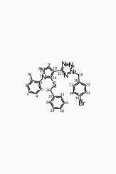 Cc1ccccc1-n1ncc(-c2nnn(Cc3ccc(Br)cc3)n2)c1SCc1ccccc1